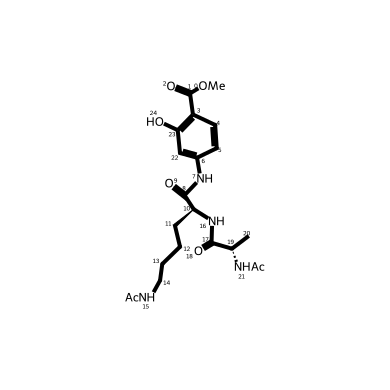 COC(=O)c1ccc(NC(=O)[C@H](CCCCNC(C)=O)NC(=O)[C@H](C)NC(C)=O)cc1O